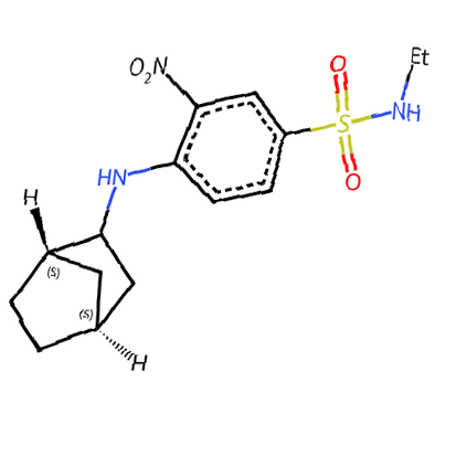 CCNS(=O)(=O)c1ccc(NC2C[C@H]3CC[C@H]2C3)c([N+](=O)[O-])c1